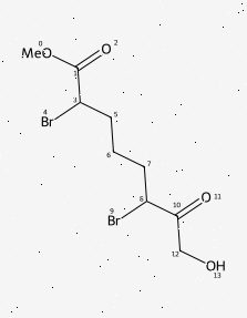 COC(=O)C(Br)CCCC(Br)C(=O)CO